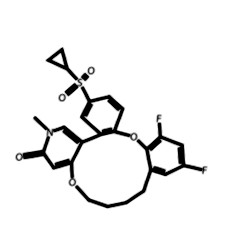 Cn1cc2c(cc1=O)OCCCCc1cc(F)cc(F)c1Oc1ccc(S(=O)(=O)C3CC3)cc1-2